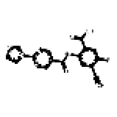 C#Cc1cc(NC(=O)c2cnc(-n3ccnc3)nc2)c(C(=O)O)cc1F